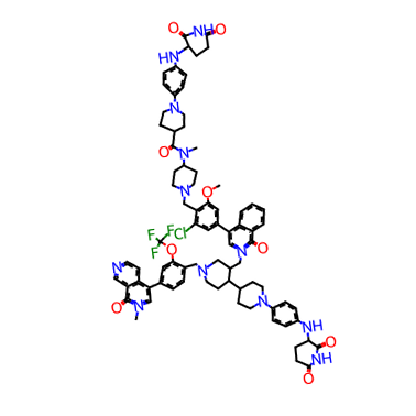 COc1cc(-c2cn(CC3CN(Cc4ccc(-c5cn(C)c(=O)c6cnccc56)cc4OC(F)(F)F)CCC3C3CCN(c4ccc(NC5CCC(=O)NC5=O)cc4)CC3)c(=O)c3ccccc23)cc(Cl)c1CN1CCC(N(C)C(=O)C2CCN(c3ccc(NC4CCC(=O)NC4=O)cc3)CC2)CC1